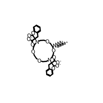 O=C([O-])C(Cc1ccccc1)(C(=O)[O-])N1CCOCCOCCN(C(Cc2ccccc2)(C(=O)[O-])C(=O)[O-])CCOCCOCC1.[Na+].[Na+].[Na+].[Na+]